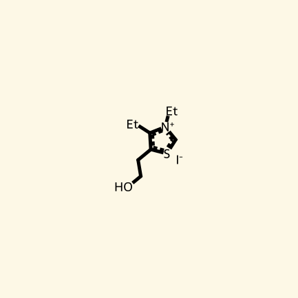 CCc1c(CCO)sc[n+]1CC.[I-]